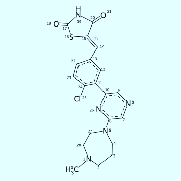 CN1CCCN(c2cncc(-c3cc(/C=C4\SC(=O)NC4=O)ccc3Cl)n2)CC1